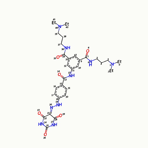 CCN(CC)CCCNC(=O)c1cc(NC(=O)c2ccc(NN=C3C(=O)NC(=O)NC3=O)cc2)cc(C(=O)NCCCN(CC)CC)c1